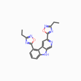 CCc1noc(-c2cc3c(cn2)[nH]c2cccc(-c4nc(CC)no4)c23)n1